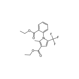 CCOC(=O)c1ccccc1-n1c(C(F)(F)F)cc(C(=O)OCC)c1C